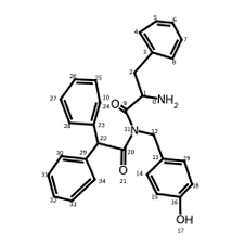 NC(Cc1ccccc1)C(=O)N(Cc1ccc(O)cc1)C(=O)C(c1ccccc1)c1ccccc1